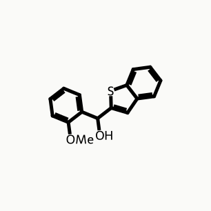 COc1ccccc1C(O)c1cc2ccccc2s1